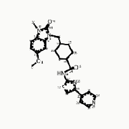 COc1ccc2c(c1)n(CC1CCC(C(=O)Nc3nc(-c4ccncc4)cs3)CC1)c(=O)n2C